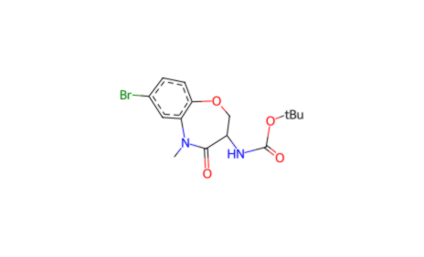 CN1C(=O)C(NC(=O)OC(C)(C)C)COc2ccc(Br)cc21